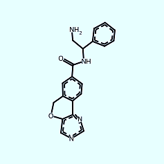 NCC(NC(=O)c1ccc2c(c1)COc1cncnc1-2)c1ccccc1